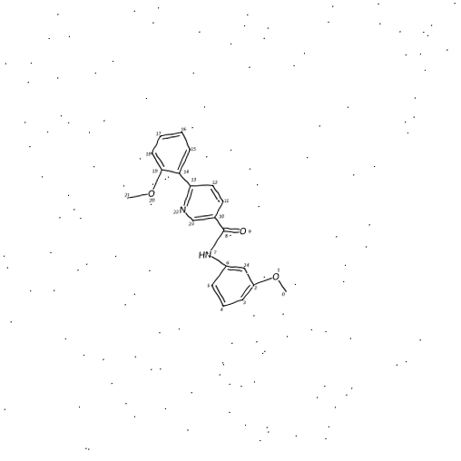 COc1cccc(NC(=O)c2ccc(-c3ccccc3OC)nc2)c1